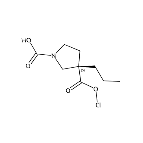 CCC[C@]1(C(=O)OCl)CCN(C(=O)O)C1